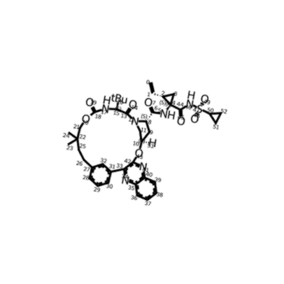 C=C[C@@H]1C[C@]1(NC(=O)[C@@H]1C[C@@H]2CN1C(=O)[C@H](C(C)(C)C)NC(=O)OCC(C)(C)CCc1cccc(c1)-c1nc3ccccc3nc1O2)C(=O)NS(=O)(=O)C1CC1